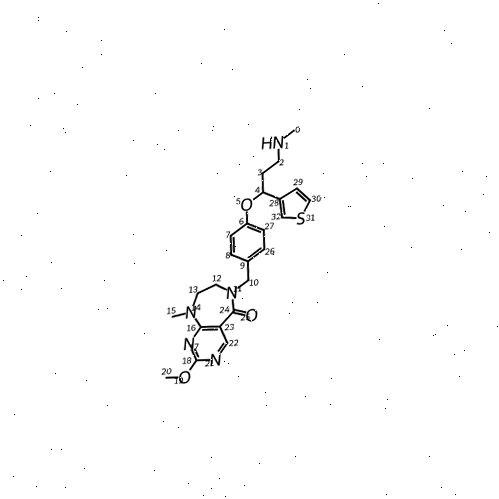 CNCCC(Oc1ccc(CN2CCN(C)c3nc(OC)ncc3C2=O)cc1)c1ccsc1